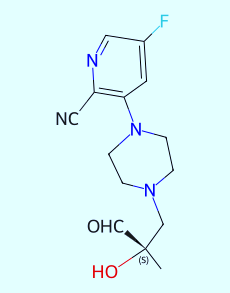 C[C@@](O)(C=O)CN1CCN(c2cc(F)cnc2C#N)CC1